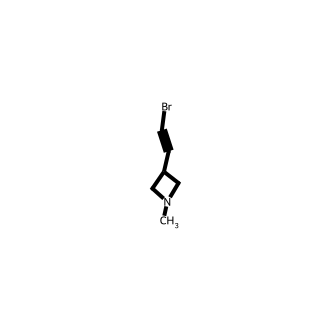 CN1CC(C#CBr)C1